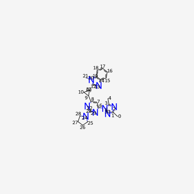 Cc1nc(C)n(-c2cc(C3C[C@@H]3c3nc4ccccc4n3C)nc(N3CCCC3)n2)n1